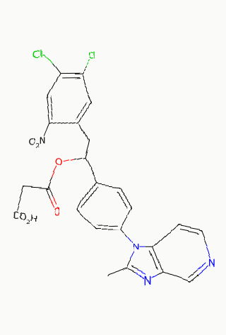 Cc1nc2cnccc2n1-c1ccc(C(Cc2cc(Cl)c(Cl)cc2[N+](=O)[O-])OC(=O)CC(=O)O)cc1